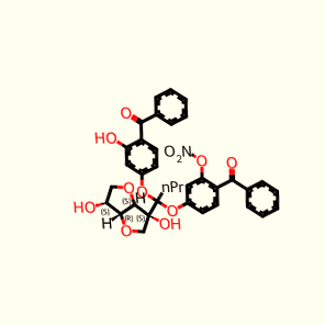 CCCC(Oc1ccc(C(=O)c2ccccc2)c(O)c1)(Oc1ccc(C(=O)c2ccccc2)c(O[N+](=O)[O-])c1)[C@]1(O)CO[C@@H]2[C@@H](O)CO[C@@H]21